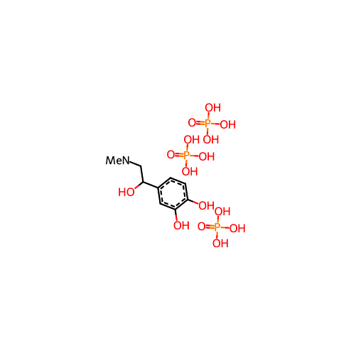 CNCC(O)c1ccc(O)c(O)c1.O=P(O)(O)O.O=P(O)(O)O.O=P(O)(O)O